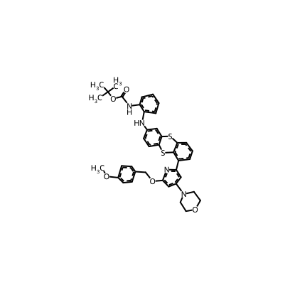 COc1ccc(COc2cc(N3CCOCC3)cc(-c3cccc4c3Sc3ccc(Nc5ccccc5NC(=O)OC(C)(C)C)cc3S4)n2)cc1